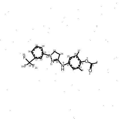 CC(=O)Oc1c(C)cc(NC2=NN(c3cccc(C(F)(F)F)c3)CC2)cc1C